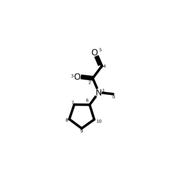 CN(C(=O)[C]=O)C1CCCC1